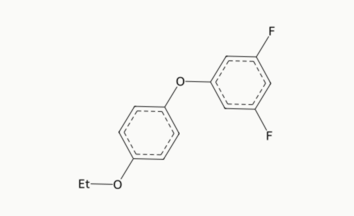 [CH2]COc1ccc(Oc2cc(F)cc(F)c2)cc1